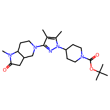 Cc1c(N2CCC3C(CC(=O)N3C)C2)nn(C2CCN(C(=O)OC(C)(C)C)CC2)c1C